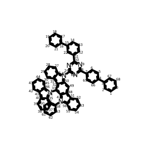 c1ccc(-c2ccc(-c3nc(-c4cccc(-c5ccccc5)c4)nc(-n4c5ccccc5c5c(-n6c7ccccc7c7ccccc76)c6c(cc54)c4ccccc4n6-c4ccccc4)n3)cc2)cc1